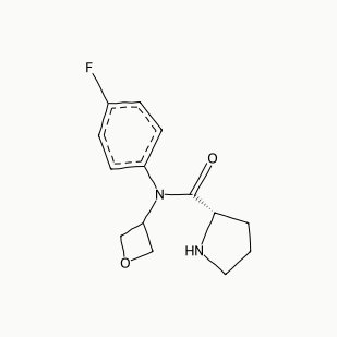 O=C([C@@H]1CCCN1)N(c1ccc(F)cc1)C1COC1